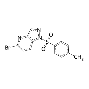 Cc1ccc(S(=O)(=O)n2ncc3nc(Br)ccc32)cc1